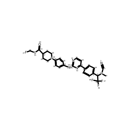 CN(C#N)C(c1ccc(-c2ccnc(Nc3ccc(N4CCC(C(=O)SCF)CC4)cc3)n2)cc1)C(F)(F)F